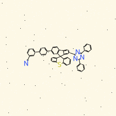 N#Cc1cccc(-c2ccc(-c3ccc4c(c3)C3(c5ccccc5Sc5ccccc53)c3cc(-c5nc(-c6ccccc6)nc(-c6ccccc6)n5)ccc3-4)cc2)c1